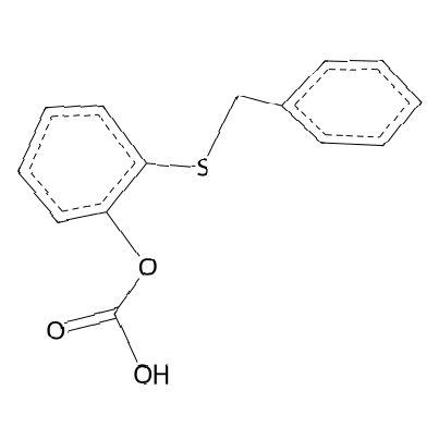 O=C(O)Oc1ccccc1SCc1ccccc1